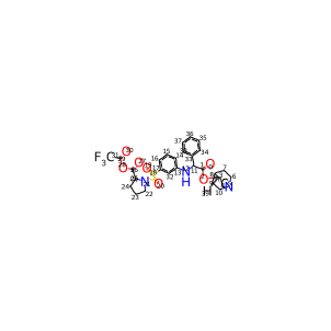 O=C(O[C@H]1CN2CCC1CC2)C(Nc1cccc(S(=O)(=O)N2CCC[C@H]2C(=O)OC(=O)C(F)(F)F)c1)c1ccccc1